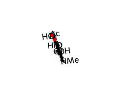 CNCCCCCN(O)C(=O)CCC(=O)NCCCCCN(O)C(C)=O